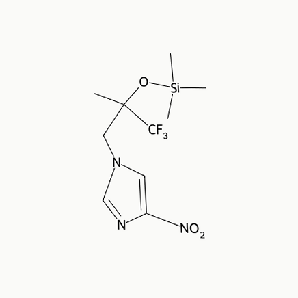 CC(Cn1cnc([N+](=O)[O-])c1)(O[Si](C)(C)C)C(F)(F)F